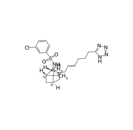 CC1(C)[C@H]2C[C@H](CC=CCCCc3nnn[nH]3)[C@@H](NS(=O)(=O)c3cccc(Cl)c3)[C@H]1C2